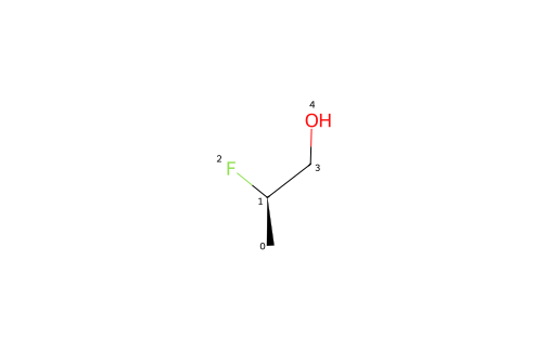 C[C@@H](F)CO